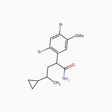 COc1cc(C(CC(C)C2CC2)C(N)=O)c(Br)cc1Br